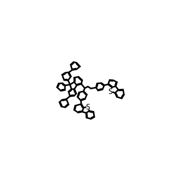 c1ccc(-c2cccc(C3(c4ccccc4)c4cc(-c5ccccc5)ccc4-c4c(C(CCc5ccc(-c6cccc7c6sc6ccccc67)cc5)c5ccc(-c6cccc7c6sc6ccccc67)cc5)cccc43)c2)cc1